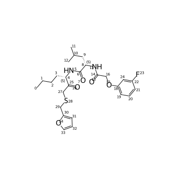 CCCC[C@H](NC(=O)[C@H](CC(C)C)NC(=O)COc1cccc(F)c1)C(=O)CSCc1ccco1